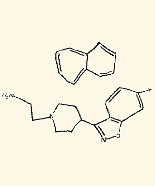 NCCN1CCC(c2noc3cc(F)ccc23)CC1.c1ccc2ccccc2c1